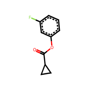 O=C(Oc1cccc(F)c1)C1CC1